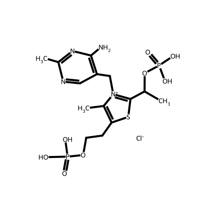 Cc1ncc(C[n+]2c(C(C)OP(=O)(O)O)sc(CCOP(=O)(O)O)c2C)c(N)n1.[Cl-]